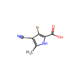 Cc1[nH]c(C(=O)O)c(Br)c1C#N